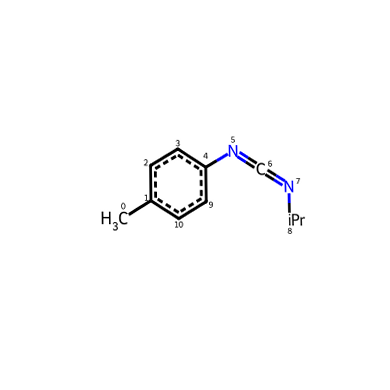 Cc1ccc(N=C=NC(C)C)cc1